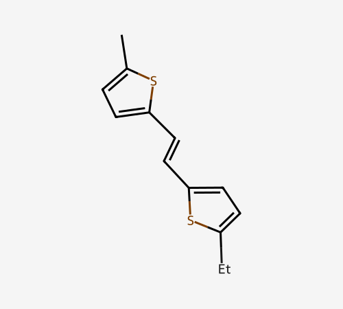 CCc1ccc(/C=C/c2ccc(C)s2)s1